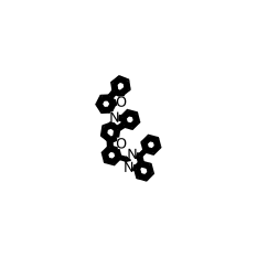 c1ccc(-c2nc(-c3cccc4c3oc3c4ccc4c3c3ccccc3n4-c3cccc4c3oc3ccccc34)nc3ccccc23)cc1